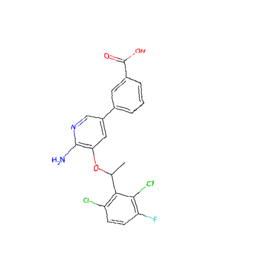 CC(Oc1cc(-c2cccc(C(=O)O)c2)cnc1N)c1c(Cl)ccc(F)c1Cl